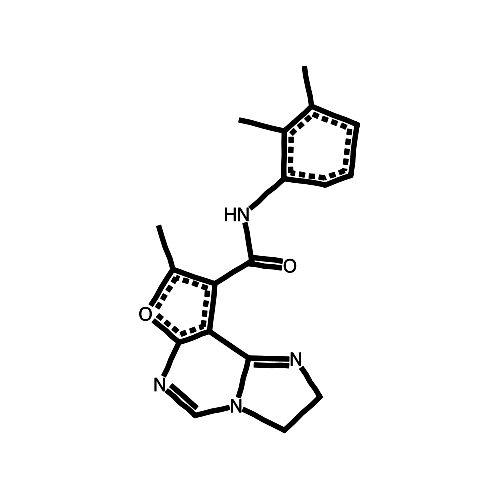 Cc1cccc(NC(=O)c2c(C)oc3c2C2=NCCN2C=N3)c1C